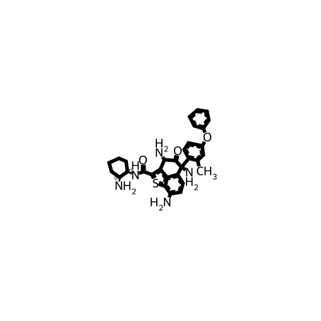 Cc1cc(Oc2ccccc2)ccc1C1(N)C(=O)C(N)c2c(C(=O)N[C@@H]3CCCC[C@H]3N)sc3c(N)ccc1c23